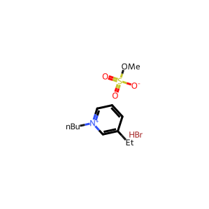 Br.CCCC[n+]1cccc(CC)c1.COS(=O)(=O)[O-]